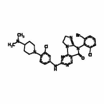 CN(C)C1CCN(c2ccc(Nc3ncc4c(n3)N3CCN=C3N(c3c(Cl)cccc3Br)C4=O)cc2Cl)CC1